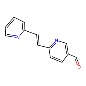 O=Cc1ccc(C=Cc2ccccn2)nc1